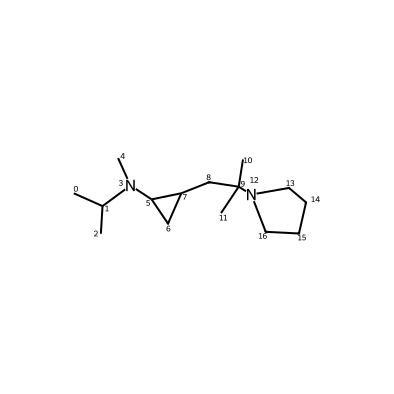 CC(C)N(C)C1CC1CC(C)(C)N1CCCC1